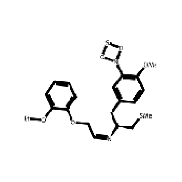 CCOc1ccccc1OC/C=N\[C@H](CSC)Cc1ccc(OC)c(N2OSO2)c1